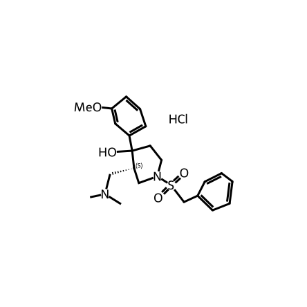 COc1cccc(C2(O)CCN(S(=O)(=O)Cc3ccccc3)C[C@@H]2CN(C)C)c1.Cl